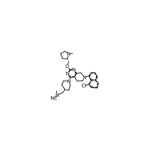 CN(C#N)CC1CCN(c2nc(OC[C@@H]3CCCN3C)nc3c2CCN(c2cccc4cccc(Cl)c24)C3)CC1